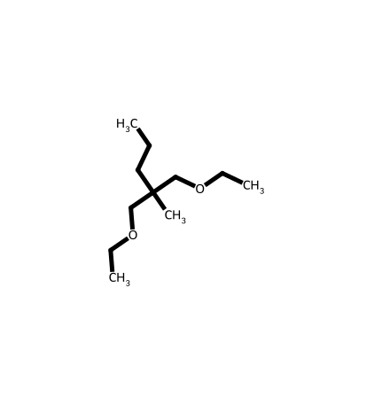 CCCC(C)(COCC)COCC